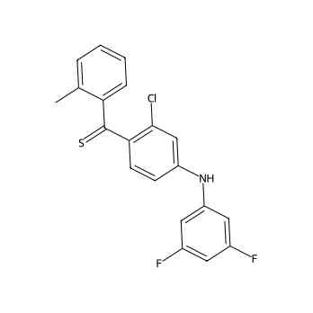 Cc1ccccc1C(=S)c1ccc(Nc2cc(F)cc(F)c2)cc1Cl